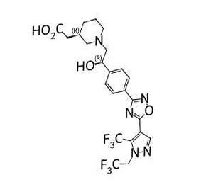 O=C(O)C[C@H]1CCCN(C[C@H](O)c2ccc(-c3noc(-c4cnn(CC(F)(F)F)c4C(F)(F)F)n3)cc2)C1